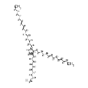 CCCCCCCCCCCCCCCCCN1C=CN(CCCCCCCCCC)C1CCCCCCCCCCCCCC